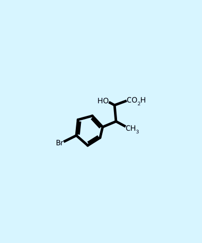 CC(c1ccc(Br)cc1)C(O)C(=O)O